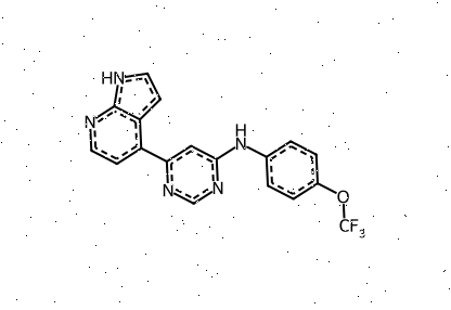 FC(F)(F)Oc1ccc(Nc2cc(-c3ccnc4[nH]ccc34)ncn2)cc1